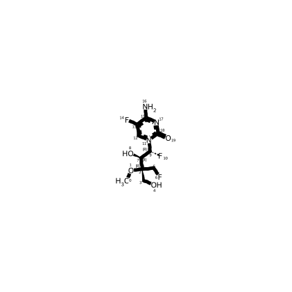 CO[C@@](CO)(CF)[C@@H](O)[C@@H](F)n1cc(F)c(N)nc1=O